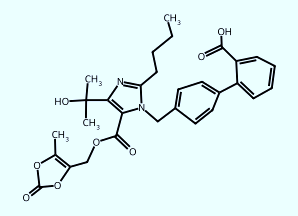 CCCCc1nc(C(C)(C)O)c(C(=O)OCc2oc(=O)oc2C)n1Cc1ccc(-c2ccccc2C(=O)O)cc1